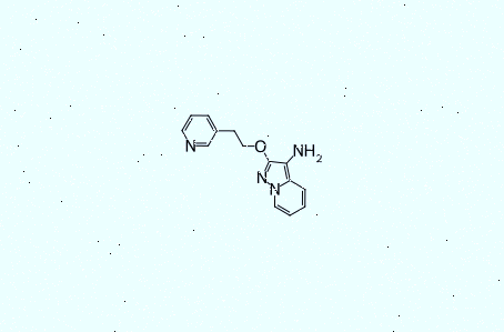 Nc1c(OCCc2cccnc2)nn2ccccc12